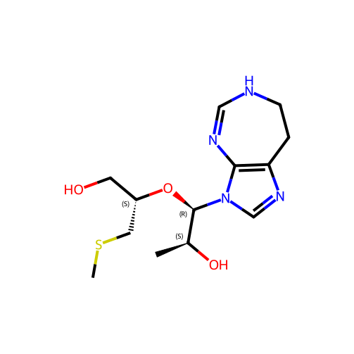 CSC[C@H](CO)O[C@H]([C@H](C)O)n1cnc2c1N=CNCC2